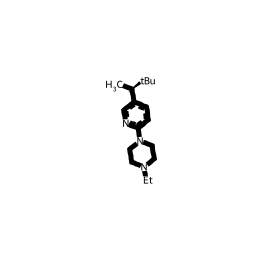 CCN1CCN(c2ccc([C@@H](C)C(C)(C)C)cn2)CC1